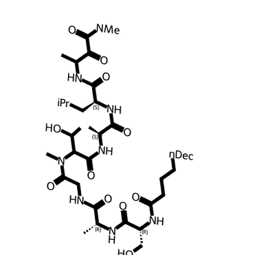 CCCCCCCCCCCCCC(=O)N[C@H](CO)C(=O)N[C@H](C)C(=O)NCC(=O)N(C)C(C(=O)N[C@@H](C)C(=O)N[C@@H](CC(C)C)C(=O)NC(C)C(=O)C(=O)NC)C(C)O